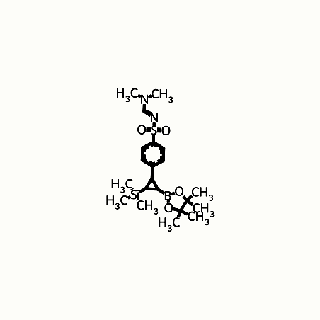 CN(C)C=NS(=O)(=O)c1ccc(C2C(B3OC(C)(C)C(C)(C)O3)C2[Si](C)(C)C)cc1